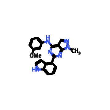 COc1cccc(Nc2nc(-c3cccc4[nH]ccc34)nc3c2cnn3C)c1